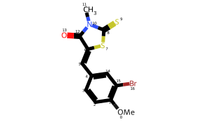 COc1ccc(/C=C2\SC(=S)N(C)C2=O)cc1Br